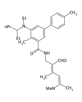 CCCC(CC)N(CC)c1cc(-c2ccc(C)cc2)cc(C(=O)NC/C(C=O)=C(C)/C=C(/C)NC)c1C